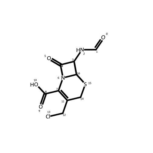 O=CNC1C(=O)N2C(C(=O)O)=C(CCl)CSC12